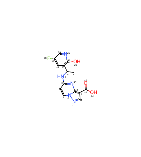 CC(Nc1ccn2ncc(C(=O)O)c2n1)c1cc(F)cnc1O